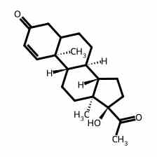 CC(=O)[C@@]1(O)CC[C@H]2[C@@H]3CCC4CC(=O)C=C[C@]4(C)[C@H]3CC[C@@]21C